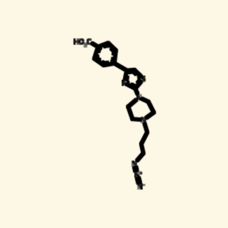 [N-]=[N+]=NCCCN1CCN(c2nc(-c3ccc(C(=O)O)cc3)cs2)CC1